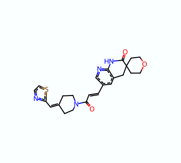 O=C(C=Cc1cnc2c(c1)CC1(CCOCC1)C(=O)N2)N1CCC(=Cc2nccs2)CC1